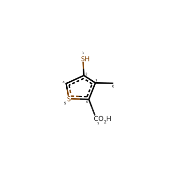 Cc1c(S)csc1C(=O)O